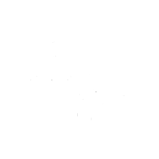 CCO[Si](COCC1(CC)COC1)(OCC)OCC